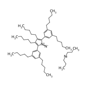 CCCCCC1=C(c2cc(CCCCC)cc(CCCCC)c2)[N+](=[N-])C(c2cc(CCCCC)cc(CCCCC)c2)=C1CCCCC.CC[CH2][Ni][CH2]CC